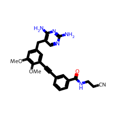 COc1cc(Cc2cnc(N)nc2N)cc(C#Cc2cccc(C(=O)NCCC#N)c2)c1OC